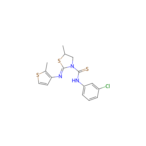 Cc1sccc1N=C1SC(C)CN1C(=S)Nc1cccc(Cl)c1